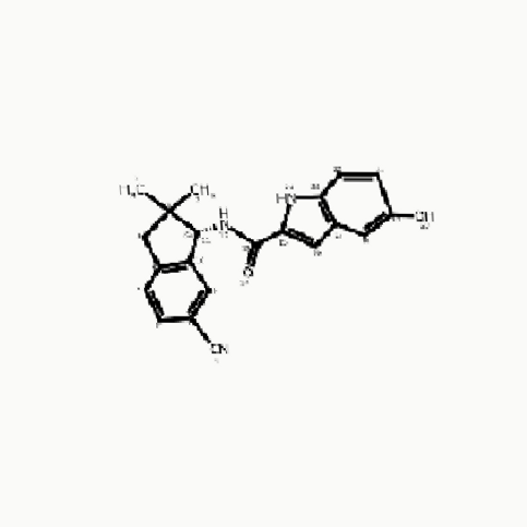 CC1(C)Cc2ccc(C#N)cc2[C@H]1NC(=O)c1cc2cc(O)ccc2[nH]1